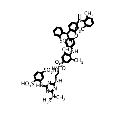 Cc1cccc(C)c1Nc1ccc2c(c1)Oc1cc(Nc3c(C)cc(S(=O)(=O)NCCNc4nc(Nc5cc(S(=O)(=O)O)ccc5S(=O)(=O)O)nc(N(C)C)n4)cc3C)ccc1C2c1ccccc1S(=O)(=O)O